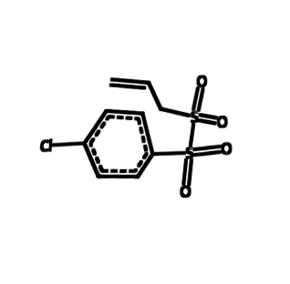 C=CCS(=O)(=O)S(=O)(=O)c1ccc(Cl)cc1